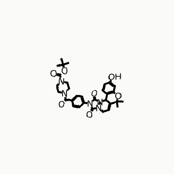 CC(C)(C)OC(=O)N1CCN(C(=O)c2ccc(-n3c(=O)n4n(c3=O)C3C(=CC4)C(C)(C)Oc4cc(O)ccc43)cc2)CC1